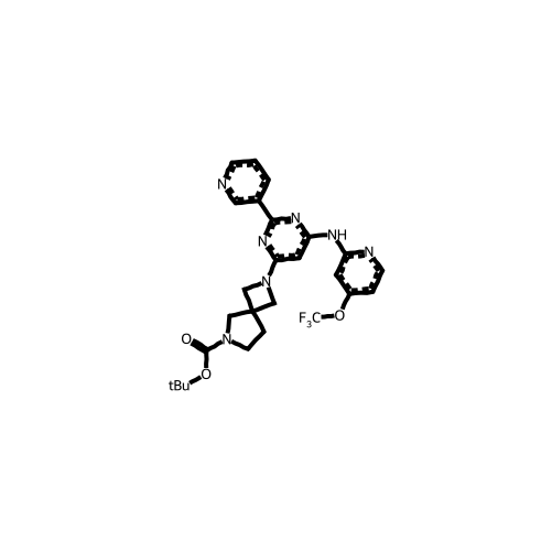 CC(C)(C)OC(=O)N1CCC2(C1)CN(c1cc(Nc3cc(OC(F)(F)F)ccn3)nc(-c3cccnc3)n1)C2